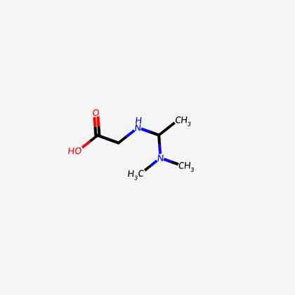 CC(NCC(=O)O)N(C)C